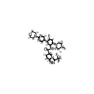 C[C@@H]1CN(c2cc(F)c(-c3cnc(N4CCOCC4)nc3)cc2NC(=O)c2ccc3nnc(C(F)(F)F)n3c2)C[C@H](C)N1C